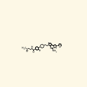 C[S+]([O-])CCNC(=O)c1ccc(N2CCN(CCn3ncc4c3nc(N)n3nc(-c5ccco5)cc43)CC2)c(F)c1